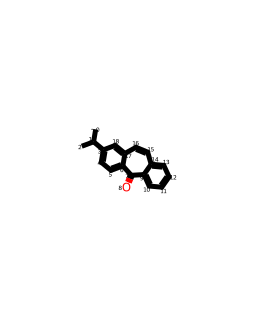 [CH2]C(C)c1ccc2c(=O)c3ccccc3ccc2c1